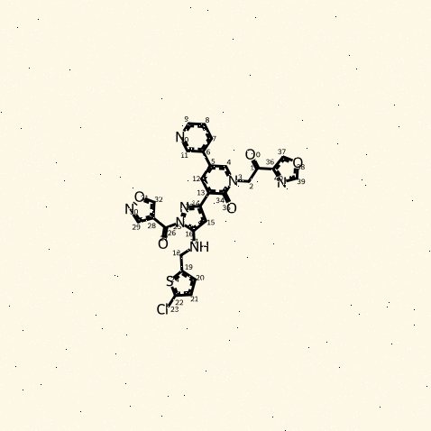 O=C(Cn1cc(-c2cccnc2)cc(-c2cc(NCc3ccc(Cl)s3)n(C(=O)c3cnoc3)n2)c1=O)c1cocn1